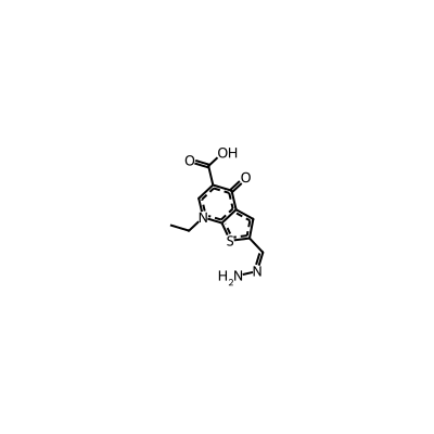 CCn1cc(C(=O)O)c(=O)c2cc(/C=N\N)sc21